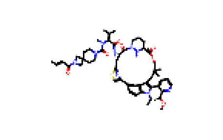 C/C=C/C(=O)N1CC2(CCN(C(=O)N(C)C(C(=O)N[C@H]3Cc4nc(cs4)-c4ccc5c(c4)c(c(-c4cccnc4[C@H](C)OC)n5CC)CC(C)(C)COC(=O)[C@@H]4CCCN(N4)C3=O)C(C)C)CC2)C1